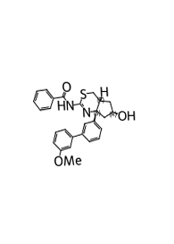 COc1cccc(-c2cccc([C@]34C[C@H](O)C[C@H]3CSC(NC(=O)c3ccccc3)=N4)c2)c1